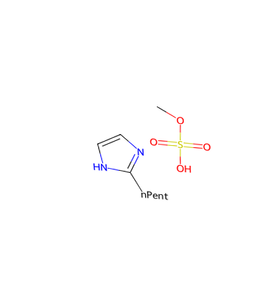 CCCCCc1ncc[nH]1.COS(=O)(=O)O